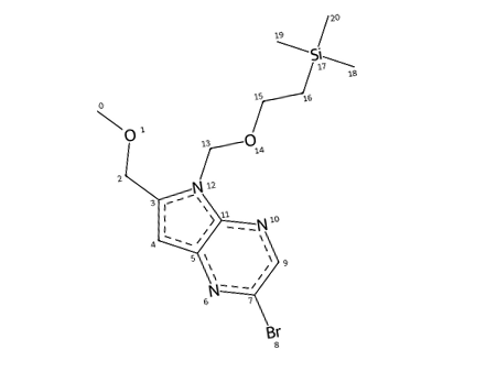 COCc1cc2nc(Br)cnc2n1COCC[Si](C)(C)C